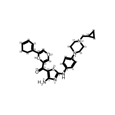 Nc1nc(Nc2ccc(N3CCN(CC4CC4)CC3)cc2)sc1C(=O)C1=COC=C(C2=CC=CCC2)O1